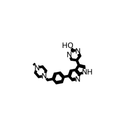 CN1CCN(Cc2ccc(-c3cnc4[nH]cc(C5C=NC(O)=NC5)c4c3)cc2)CC1